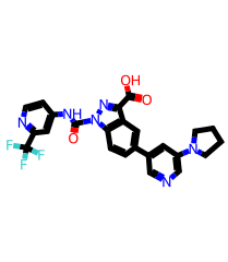 O=C(O)c1nn(C(=O)Nc2ccnc(C(F)(F)F)c2)c2ccc(-c3cncc(N4CCCC4)c3)cc12